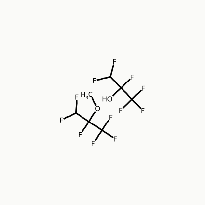 COC(F)(C(F)F)C(F)(F)F.OC(F)(C(F)F)C(F)(F)F